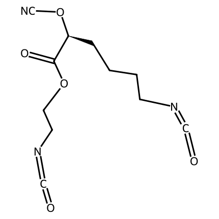 N#CO[C@@H](CCCCN=C=O)C(=O)OCCN=C=O